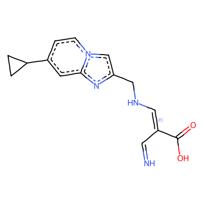 N=C/C(=C\NCc1cn2ccc(C3CC3)cc2n1)C(=O)O